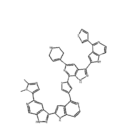 Cc1ncc(-c2cc3c(-c4cc5c(-c6csc(-c7nc(C8=CCNCC8)cc8c(-c9cc%10c(-c%11ccsc%11)nccc%10[nH]9)n[nH]c78)c6)nccc5[nH]4)n[nH]c3cn2)n1C